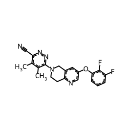 Cc1c(C#N)nnc(N2CCc3ncc(Oc4cccc(F)c4F)cc3C2)c1C